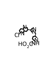 O=C(O)Nc1ccc(Cn2cc(-c3cnc4ccc(Cl)nc4c3)cn2)cn1